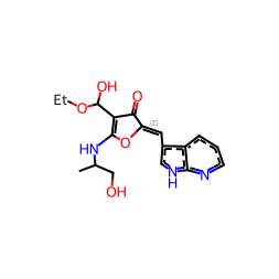 CCOC(O)C1=C(NC(C)CO)O/C(=C\c2c[nH]c3ncccc23)C1=O